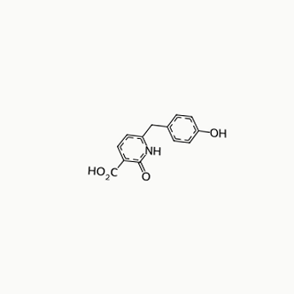 O=C(O)c1ccc(Cc2ccc(O)cc2)[nH]c1=O